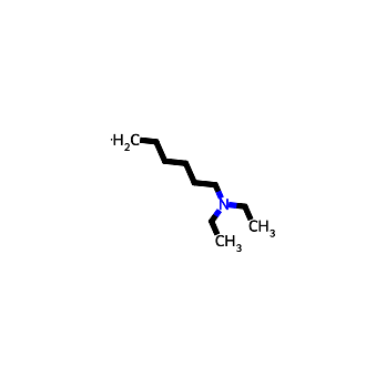 [CH2]CCCCCN(CC)CC